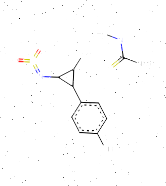 CCCC1C(N=S(=O)=O)C1c1ccc(C)cc1.CNC(=S)NC=O